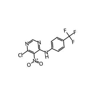 O=[N+]([O-])c1c(Cl)ncnc1Nc1ccc(C(F)(F)F)cc1